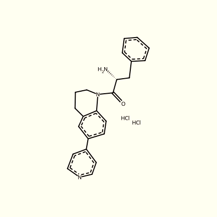 Cl.Cl.N[C@H](Cc1ccccc1)C(=O)N1CCCc2cc(-c3ccncc3)ccc21